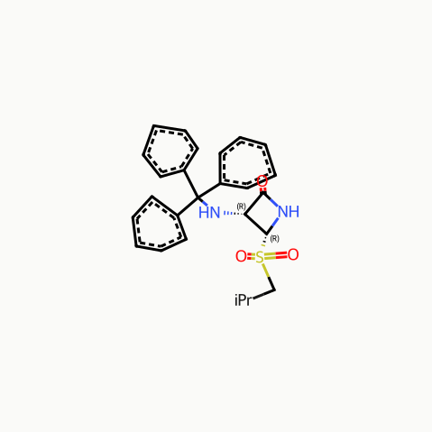 CC(C)CS(=O)(=O)[C@H]1NC(=O)[C@H]1NC(c1ccccc1)(c1ccccc1)c1ccccc1